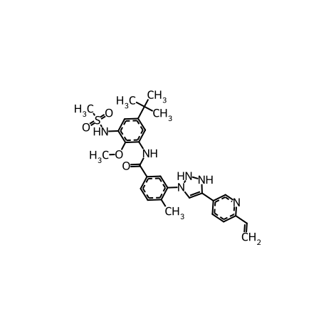 C=Cc1ccc(C2=CN(c3cc(C(=O)Nc4cc(C(C)(C)C)cc(NS(C)(=O)=O)c4OC)ccc3C)NN2)cn1